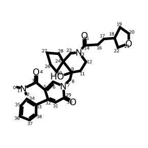 CN(C)C(=O)c1cn(CC2(O)CCN(C(=O)CCC3CCOC3)CC23CCCC3)c(=O)cc1-c1ccccc1